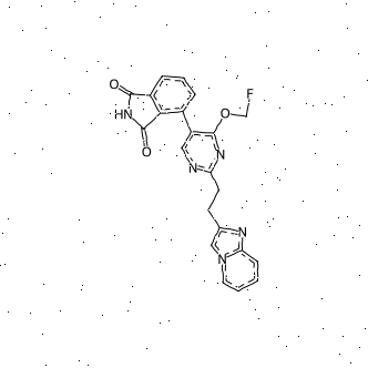 O=C1NC(=O)c2c1cccc2-c1cnc(CCc2cn3ccccc3n2)nc1OCF